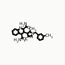 Cc1cccc(Cn2nc(C(F)(F)F)c(-c3c(C(N)=O)nc4ccccc4c3C(N)=O)c2C)c1